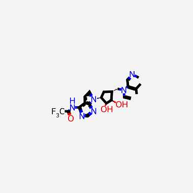 C=CN(C[C@H]1C[C@@H](n2ccc3c(NC(=O)C(F)(F)F)ncnc32)[C@H](O)[C@@H]1O)C(/C=N\C)=C(C)C